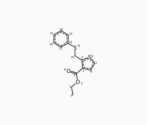 CCOC(=O)c1ccsc1CSc1ccccc1